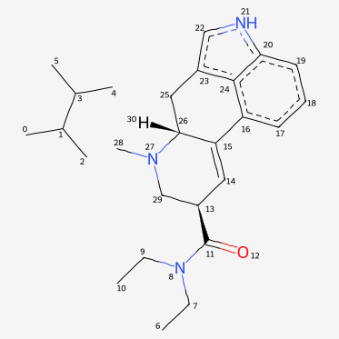 CC(C)C(C)C.CCN(CC)C(=O)[C@@H]1C=C2c3cccc4[nH]cc(c34)C[C@H]2N(C)C1